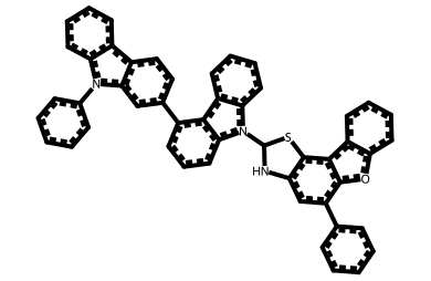 c1ccc(-c2cc3c(c4c2oc2ccccc24)SC(n2c4ccccc4c4c(-c5ccc6c7ccccc7n(-c7ccccc7)c6c5)cccc42)N3)cc1